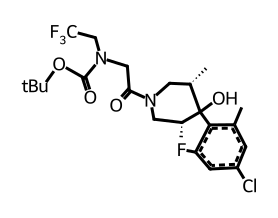 Cc1cc(Cl)cc(F)c1C1(O)[C@H](C)CN(C(=O)CN(CC(F)(F)F)C(=O)OC(C)(C)C)C[C@@H]1C